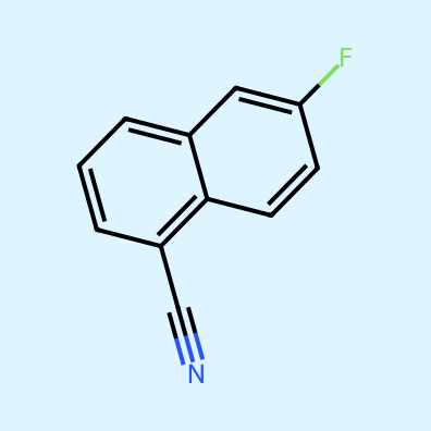 N#Cc1cccc2cc(F)ccc12